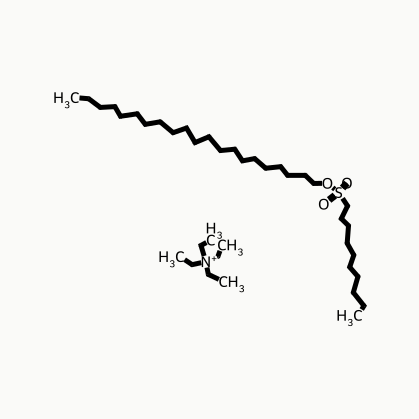 CCCCCCCCCCCCCCCCCCCCCOS(=O)(=O)CCCCCCCCCC.CC[N+](CC)(CC)CC